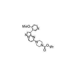 COc1ccncc1-c1cnn2ccc(N3CCN(C(=O)OC(C)C)CC3)nc12